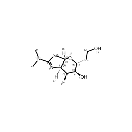 CN(C)C1=N[C@@H]2[C@H](F)[C@H](O)[C@@H](CCO)O[C@@H]2S1